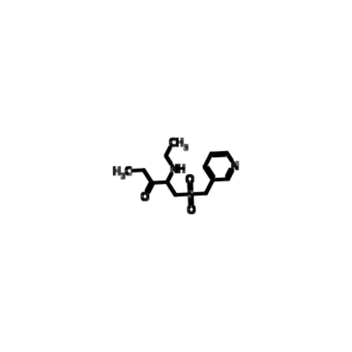 CCNC(CS(=O)(=O)Cc1cccnc1)C(=O)CC